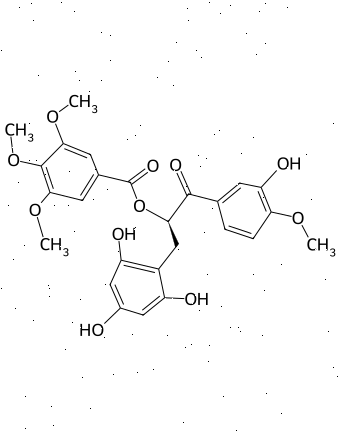 COc1ccc(C(=O)[C@@H](Cc2c(O)cc(O)cc2O)OC(=O)c2cc(OC)c(OC)c(OC)c2)cc1O